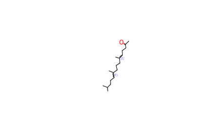 CC(=O)CC/C=C(\C)CCC/C(C)=C/CCC(C)C